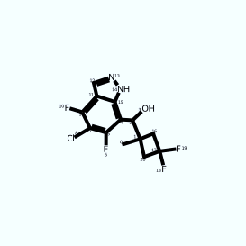 CC1(C(O)c2c(F)c(Cl)c(F)c3cn[nH]c23)CC(F)(F)C1